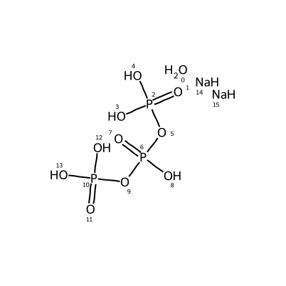 O.O=P(O)(O)OP(=O)(O)OP(=O)(O)O.[NaH].[NaH]